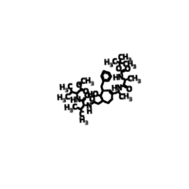 COC(=O)[C@@H](NC(=O)[C@@H](NC(=O)CC1CCC([C@H](C)NC(=O)[C@H](C)NC(=O)OC(C)(C)C)=CC(Cc2ccccc2)C1O)C(C)C)C(C)C